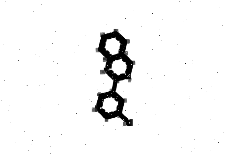 Clc1cncc(-c2ncc3ccccc3n2)c1